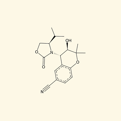 CC(C)[C@@H]1COC(=O)N1[C@H]1c2cc(C#N)ccc2OC(C)(C)[C@@H]1O